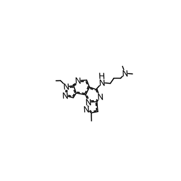 CCn1ncc2c1ncc1c(NCCCN(C)C)nc3cc(C)nn3c12